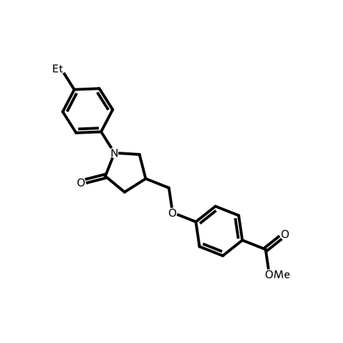 CCc1ccc(N2CC(COc3ccc(C(=O)OC)cc3)CC2=O)cc1